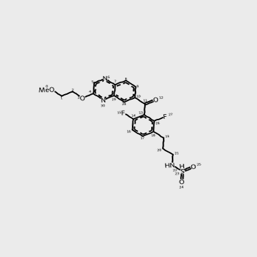 COCCOc1cnc2ccc(C(=O)c3c(F)ccc(CCCN[SH](=O)=O)c3F)cc2n1